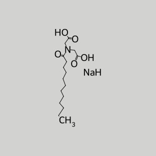 CCCCCCCCCCCC(=O)N(CC(=O)O)CC(=O)O.[NaH]